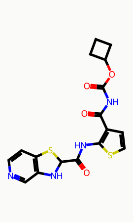 O=C(NC(=O)c1ccsc1NC(=O)C1Nc2cnccc2S1)OC1CCC1